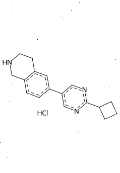 Cl.c1cc2c(cc1-c1cnc(C3CCC3)nc1)CCNC2